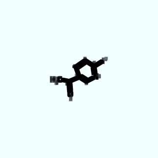 CC(=O)c1ccc(I)nc1